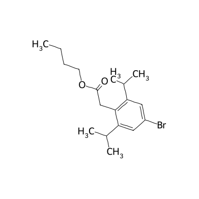 CCCCOC(=O)Cc1c(C(C)C)cc(Br)cc1C(C)C